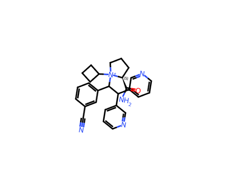 N#Cc1cccc(C(C(c2cccnc2)c2cccnc2)[N+]2(C3CCC3)CCC[C@H]2C(N)=O)c1